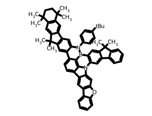 CC(C)(C)c1ccc(N2B3c4cc5c(cc4-n4c6cc7oc8ccccc8c7cc6c6ccc(c3c64)-c3cc4c(cc32)-c2cc3c(cc2C4(C)C)C(C)(C)CCC3(C)C)-c2ccccc2C5(C)C)cc1